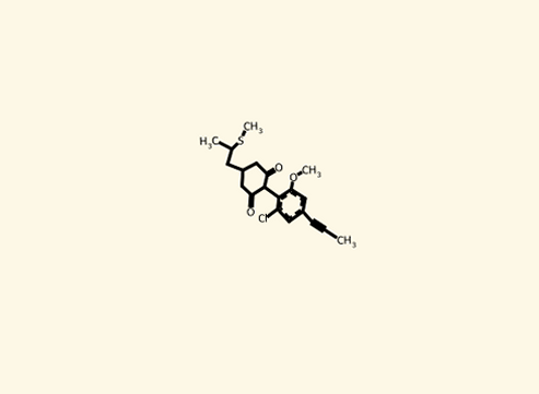 CC#Cc1cc(Cl)c(C2C(=O)CC(CC(C)SC)CC2=O)c(OC)c1